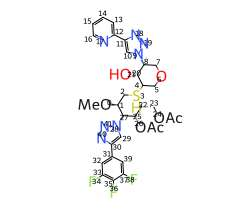 CO[C@H]1C[SH]([C@@H]2COC[C@H](n3cc(-c4ccccn4)nn3)[C@H]2O)[C@H](COC(C)=O)[C@H](OC(C)=O)[C@H]1n1cc(-c2cc(F)c(F)c(F)c2)nn1